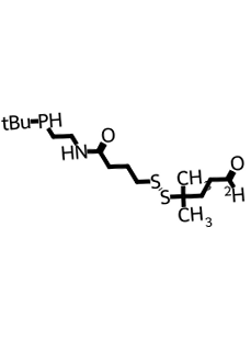 [2H]C(=O)CCC(C)(C)SSCCCC(=O)NCCPC(C)(C)C